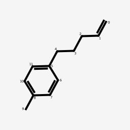 C=CCCCc1ccc(C)cc1